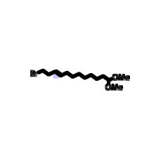 COC(CCCCCCC/C=C/CCBr)OC